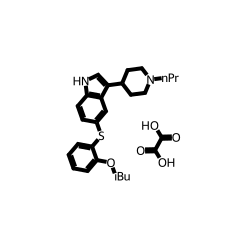 CCCN1CCC(c2c[nH]c3ccc(Sc4ccccc4OC(C)CC)cc23)CC1.O=C(O)C(=O)O